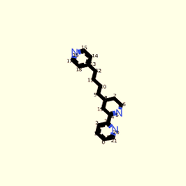 c1ccc(C2=NCCC(CCCCc3ccncc3)C2)nc1